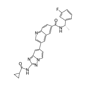 C[C@H](NC(=O)c1ccc2ncc(-c3ccn4nc(NC(=O)C5CC5)nc4c3)cc2c1)c1cccc(F)c1